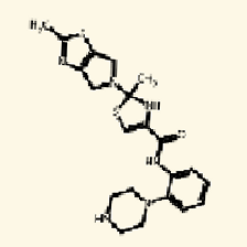 Cc1nc2c(s1)CN(C1(C)NC(C(=O)Nc3ccccc3N3CCNCC3)=CS1)C2